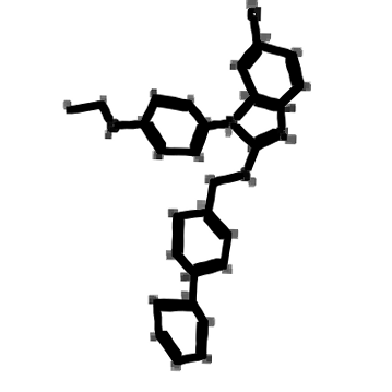 CCOc1ccc(-n2c(SCc3ccc(-c4ccccc4)cc3)nc3ccc(Cl)cc32)cc1